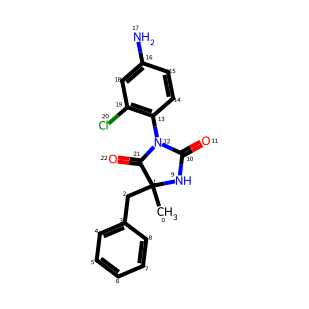 CC1(Cc2ccccc2)NC(=O)N(c2ccc(N)cc2Cl)C1=O